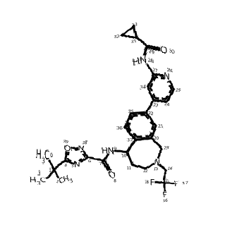 CC(C)(C)c1nc(C(=O)NC2CCN(CC(F)(F)F)Cc3cc(-c4ccnc(NC(=O)C5CC5)c4)ccc32)no1